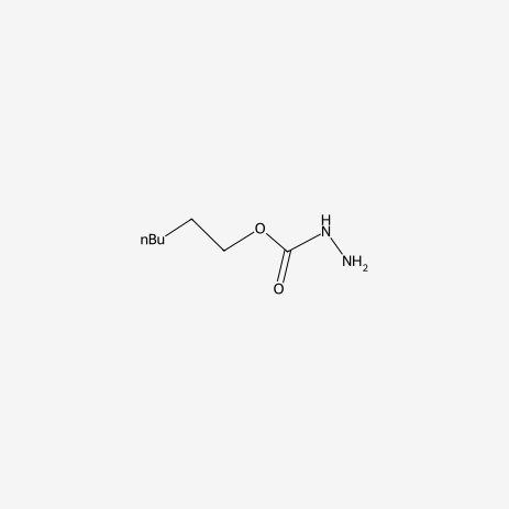 CCCCCCOC(=O)NN